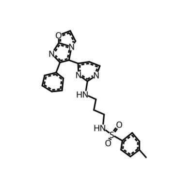 Cc1ccc(S(=O)(=O)NCCCNc2nccc(-c3c(-c4ccccc4)nc4occn34)n2)cc1